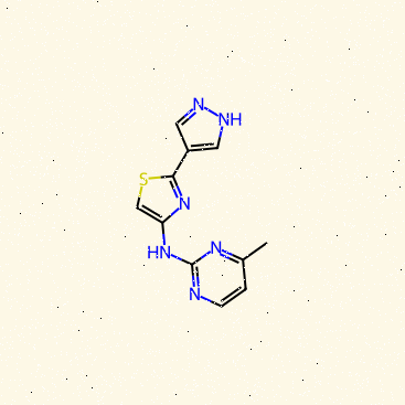 Cc1ccnc(Nc2csc(-c3cn[nH]c3)n2)n1